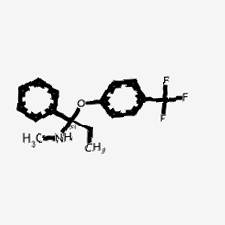 CC[C@](NC)(Oc1ccc(C(F)(F)F)cc1)c1ccccc1